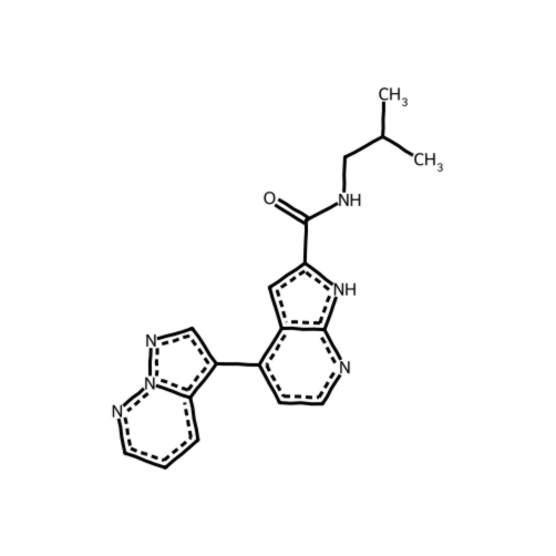 CC(C)CNC(=O)c1cc2c(-c3cnn4ncccc34)ccnc2[nH]1